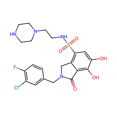 O=C1c2c(O)c(O)cc(S(=O)(=O)NCCN3CCNCC3)c2CN1Cc1ccc(F)c(Cl)c1